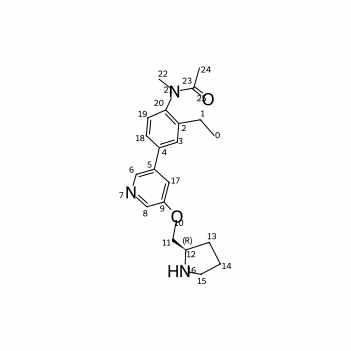 CCc1cc(-c2cncc(OC[C@H]3CCCN3)c2)ccc1N(C)C(C)=O